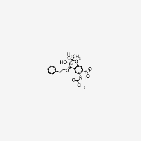 CC(=O)Nc1cc2c(cc1[N+](=O)[O-])OC(C)(C)[C@@H](O)[C@@H]2OCCc1ccccc1